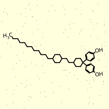 CCCCCCCCCCCCC1CCC(CCC2CCC(c3ccc(O)cc3)(c3ccc(O)cc3)CC2)CC1